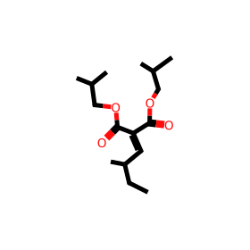 CCC(C)C=C(C(=O)OCC(C)C)C(=O)OCC(C)C